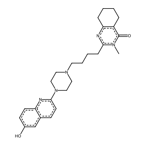 Cn1c(CCCCN2CCN(c3ccc4cc(O)ccc4n3)CC2)nc2c(c1=O)CCCC2